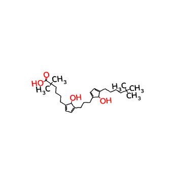 CC(C)(C)CCCCC1=CC=C(CCCC2=CC=C(CCCCC(C)(C)C(=O)O)C2O)C1O